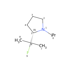 CC(C)N1CCC[C@H]1C(C)(C)F